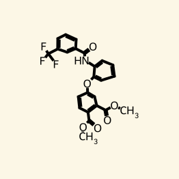 COC(=O)c1ccc(Oc2ccccc2NC(=O)c2cccc(C(F)(F)F)c2)cc1C(=O)OC